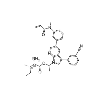 C=CC(=O)N(C)c1cccc(-c2cnc3c(c2)c(-c2cccc(C#N)c2)cn3C(C)OC(=O)[C@@H](N)[C@@H](C)CC)c1